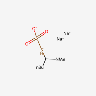 CCCCC(NC)[SH-]S(=O)(=O)[O-].[Na+].[Na+]